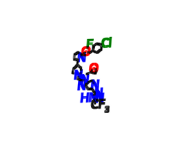 Fc1cc(Cl)ccc1COc1cccc(C2=CCN(Cc3nc4cc(-c5nnc(C(F)(F)F)[nH]5)ncc4n3C[C@@H]3CCO3)CC2)n1